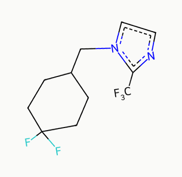 FC1(F)CCC(Cn2ccnc2C(F)(F)F)CC1